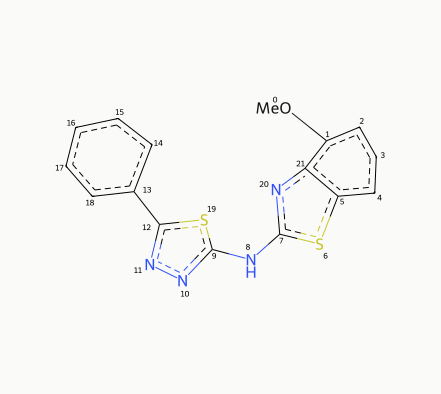 COc1cccc2sc(Nc3nnc(-c4ccccc4)s3)nc12